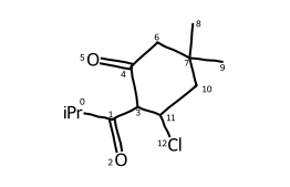 CC(C)C(=O)C1C(=O)CC(C)(C)CC1Cl